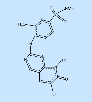 CNS(=O)(=O)c1ccc(Nc2ncc3cc(Cl)c(=O)n(C(C)C)c3n2)c(C)n1